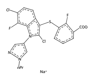 CCCn1cc(-n2c(Cl)c(Sc3cccc(C(=O)[O-])c3F)c3ccc(Cl)c(F)c32)cn1.[Na+]